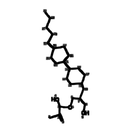 C=C(C)C(O)OCC(CO)CC1CCC(C2CCC(CCCCC)CC2)CC1